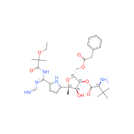 CCOC(C)(C)C(=O)N/C(=N/C=N)c1ccc([C@]2(C)O[C@H](COC(=O)Cc3ccccc3)[C@@H](OC(=O)[C@@H](N)C(C)(C)C)[C@H]2O)[nH]1